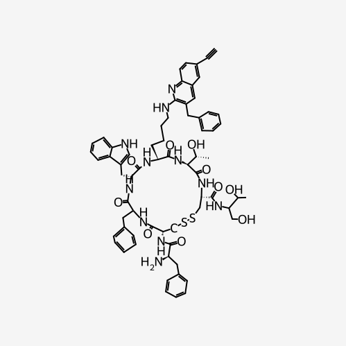 C#Cc1ccc2nc(NCCCC[C@@H]3NC(=O)[C@@H](Cc4c[nH]c5ccccc45)NC(=O)C(Cc4ccccc4)NC(=O)[C@@H](NC(=O)[C@H](N)Cc4ccccc4)CSSC[C@@H](C(=O)NC(CO)C(C)O)NC(=O)[C@H]([C@@H](C)O)NC3=O)c(Cc3ccccc3)cc2c1